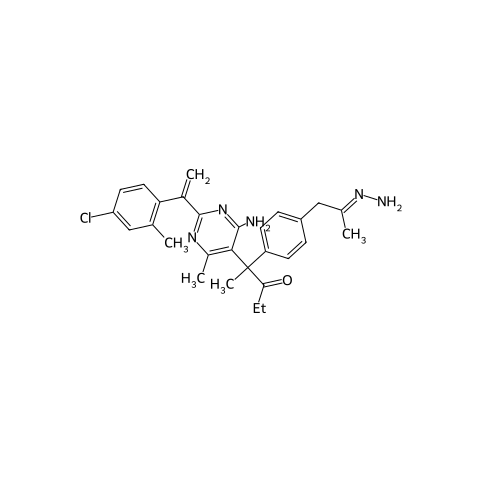 C=C(c1nc(C)c(C(C)(C(=O)CC)c2ccc(C/C(C)=N/N)cc2)c(N)n1)c1ccc(Cl)cc1C